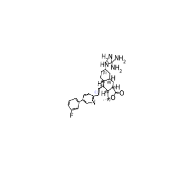 C[C@H]1OC(=O)[C@@H]2C[C@@H]3C[C@@H](NC(N)(N)N)CC[C@H]3[C@H](/C=C/c3ccc(-c4cccc(F)c4)cn3)[C@H]12